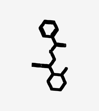 C=C=C(COC(=O)c1ccccc1)C1CCCCC1C